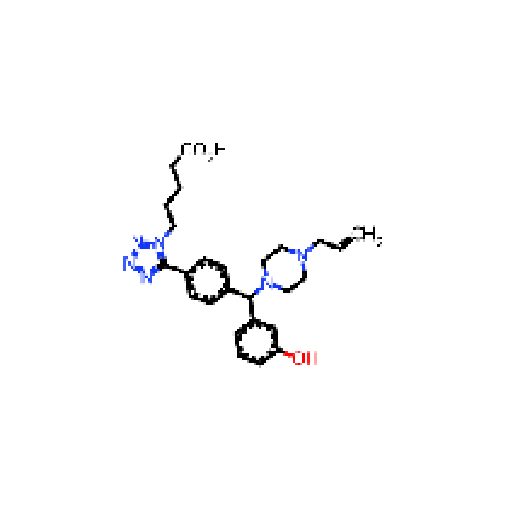 C=CCN1CCN(C(c2ccc(-c3nnnn3CCCCC(=O)O)cc2)c2cccc(O)c2)CC1